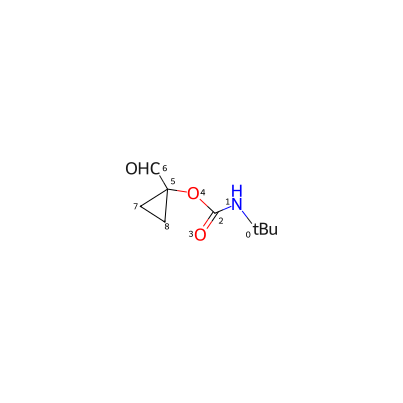 CC(C)(C)NC(=O)OC1(C=O)CC1